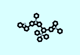 c1ccc(-n2c3ccccc3c3cc(-c4cc(-c5ccc6c(c5)c5cc(-c7cccc8c7oc7ccccc78)ccc5n6-c5ccccc5)cc([Si](c5ccccc5)(c5ccccc5)c5ccccc5)c4)ccc32)cc1